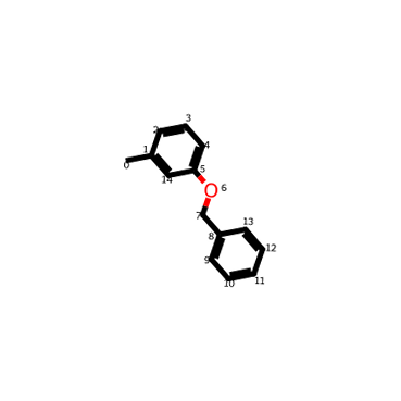 Cc1c[c]cc(OCc2ccccc2)c1